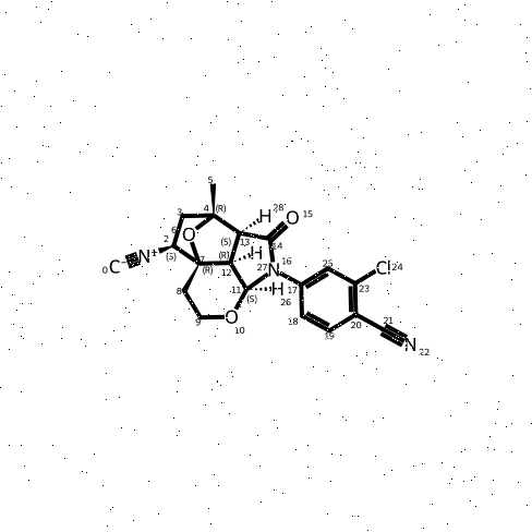 [C-]#[N+][C@H]1C[C@@]2(C)O[C@@]13CCO[C@H]1[C@@H]3[C@@H]2C(=O)N1c1ccc(C#N)c(Cl)c1